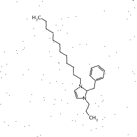 CCCCCCCCCCCCN1C=CN(CCC)C1Cc1ccccc1